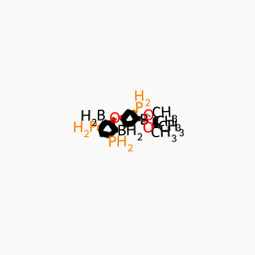 Bc1c(P)cc(P)c(B)c1Oc1ccc(B2OC(C)(C)C(C)(C)O2)c(P)c1